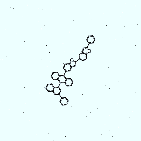 c1ccc(-c2cc(-c3c4ccccc4c(-c4ccc5oc(-c6ccc7oc(-c8ccccc8)cc7c6)cc5c4)c4ccccc34)c3ccccc3c2)cc1